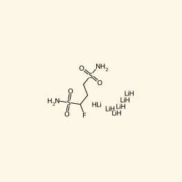 NS(=O)(=O)CCC(F)S(N)(=O)=O.[LiH].[LiH].[LiH].[LiH].[LiH].[LiH]